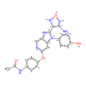 CC(=O)Nc1ccc(Oc2cc3c(cn2)nc(-c2nonc2N)n3-c2ccc(O)cc2)cc1